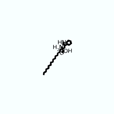 CCCCCCCCCCCCCCCCC(N)(Cc1c[nH]c2ccccc12)C(=O)O